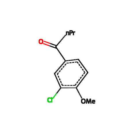 CCCC(=O)c1ccc(OC)c(Cl)c1